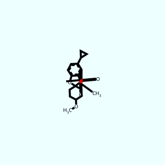 COC1CCC2(CC1)Oc1ccc(C3CC3)cc1C21NC(=O)N(C)C1=O